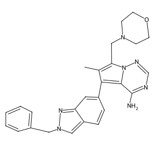 Cc1c(-c2ccc3cn(Cc4ccccc4)nc3c2)c2c(N)ncnn2c1CN1CCOCC1